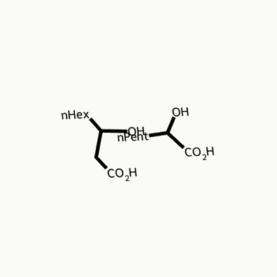 CCCCCC(O)C(=O)O.CCCCCCC(O)CC(=O)O